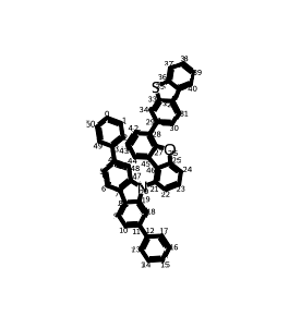 c1ccc(-c2ccc3c4ccc(-c5ccccc5)cc4n(-c4cccc5oc6c(-c7ccc8c(c7)sc7ccccc78)cccc6c45)c3c2)cc1